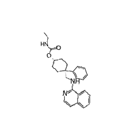 CCNC(=O)O[C@H]1CC[C@](CNc2nccc3ccccc23)(c2ccccc2)CC1